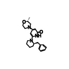 C[C@@H]1CN(c2cc(N3CCCC[C@@H]3Cc3ccccc3)[nH]c(=O)c2)CCO1